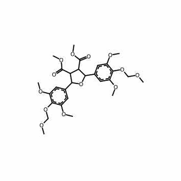 COCOc1c(OC)cc(C2OC(c3cc(OC)c(OCOC)c(OC)c3)C(C(=O)OC)C2C(=O)OC)cc1OC